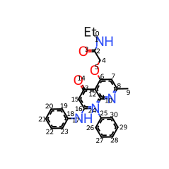 CCNC(=O)COc1cc(C)nc2c1c(=O)cc(Nc1ccccc1)n2-c1ccccc1